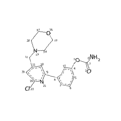 NC(=O)Oc1cccc(-c2cc(CN3CCOCC3)cc(Cl)n2)c1